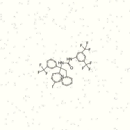 O=C(Nc1cc(C(F)(F)F)cc(C(F)(F)F)c1)NC(Cc1ccccc1)(c1cccc(C(F)(F)F)c1)c1ccc(I)cn1